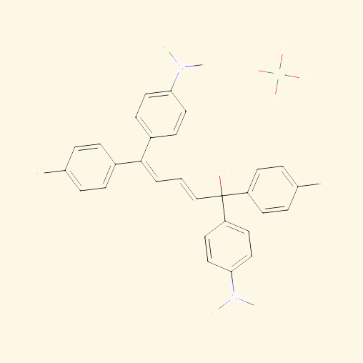 Cc1ccc(C(=CC=CC(O)(c2ccc(C)cc2)c2ccc(N(C)C)cc2)c2ccc(N(C)C)cc2)cc1.[O-][Cl+3]([O-])([O-])O